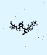 CN/C(C#N)=C\C(=N)CN(C)C(=O)c1ccc(F)cc1[C@@H](C)Oc1cc(Br)cnc1NC(=O)CNC(=O)OC(C)(C)C